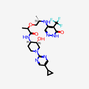 CC(OC[C@H](C)Nc1cn[nH]c(=O)c1C(F)(F)F)C(=O)N[C@@H]1CCN(c2ncc(C3CC3)cn2)C[C@H]1O